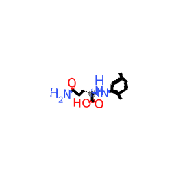 Cc1ccc(C)c(NN[C@@H](CCC(N)=O)C(=O)O)c1